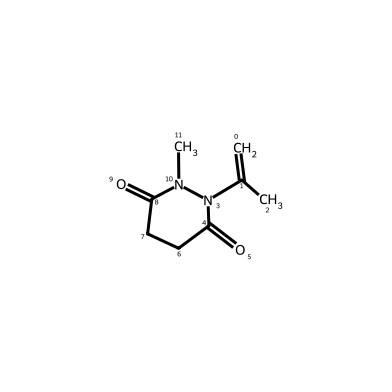 C=C(C)N1C(=O)CCC(=O)N1C